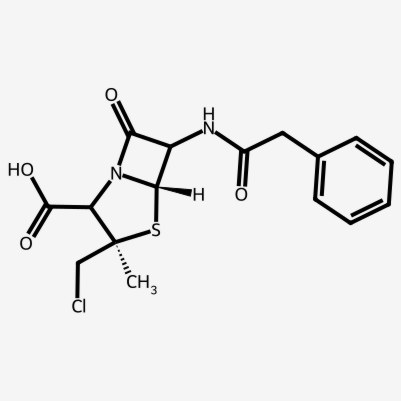 C[C@@]1(CCl)S[C@H]2C(NC(=O)Cc3ccccc3)C(=O)N2C1C(=O)O